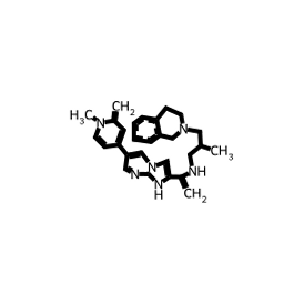 C=C(NCC(C)CN1CCc2ccccc2C1)C1=CN2C=C(C3=CC(=C)N(C)C=C3)C=NC2N1